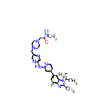 CNC(=O)CN1CCN(Cc2cnc(Nc3cc(-c4cc(F)c5nc(C)n(C(C)C)c5c4)ccn3)cn2)CC1